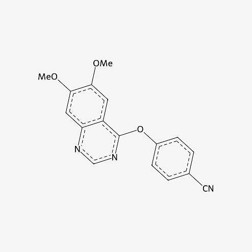 COc1cc2ncnc(Oc3ccc(C#N)cc3)c2cc1OC